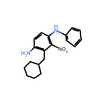 Nc1ccc(Nc2ccccc2)c([N+](=O)[O-])c1CC1CCCCC1